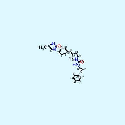 Cc1cnc(Oc2cccc(C=C3CCN(C(=O)NC4C[C@@H]4c4ccccc4)CC3)c2)nc1